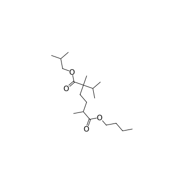 CCCCOC(=O)C(C)CCC(C)(C(=O)OCC(C)C)C(C)C